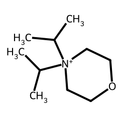 CC(C)[N+]1(C(C)C)CCOCC1